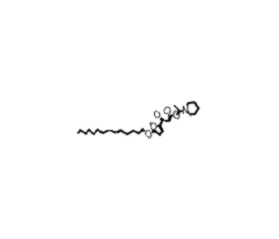 CCCCCCCCCCCCCCOc1ccc(C(=O)CC(=O)OC(C)N2CCCCC2)o1